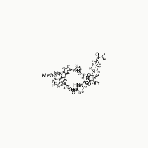 C=C(C)C(=O)N1CC2(CCN(C(=O)N(C)[C@H](C(=O)N[C@H]3Cc4nc(cs4)-c4ccc5c(c4)c(c(-c4cccnc4[C@H](C)OC)n5CC)CC(C)(C)COC(=O)[C@@]4(O)CCCN(N4)C3=O)C(C)C)CC2)C1